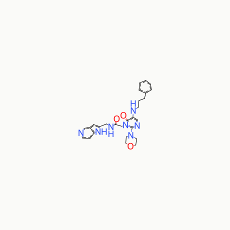 O=C(Cn1c(N2CCOCC2)ncc(NCCCc2ccccc2)c1=O)NCc1cc2cnccc2[nH]1